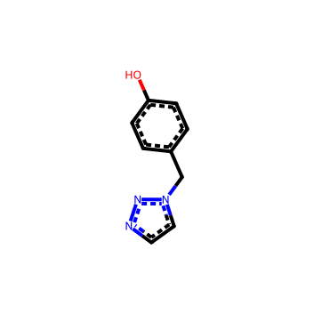 Oc1ccc(Cn2ccnn2)cc1